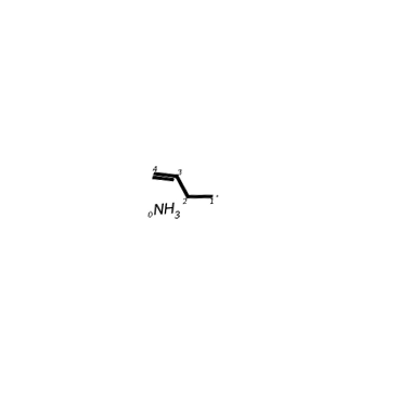 N.[CH2]CC=C